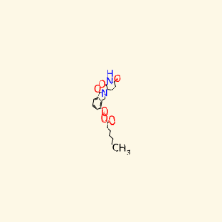 CCCCCCC(=O)OOc1cccc2c1CN(C1CCC(=O)NC1=O)C2=O